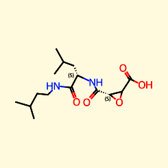 CC(C)CCNC(=O)[C@H](CC(C)C)NC(=O)[C@H]1OC1C(=O)O